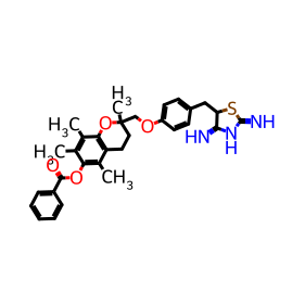 Cc1c(C)c2c(c(C)c1OC(=O)c1ccccc1)CCC(C)(COc1ccc(CC3SC(=N)NC3=N)cc1)O2